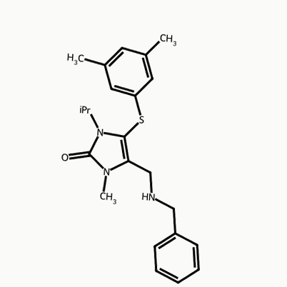 Cc1cc(C)cc(Sc2c(CNCc3ccccc3)n(C)c(=O)n2C(C)C)c1